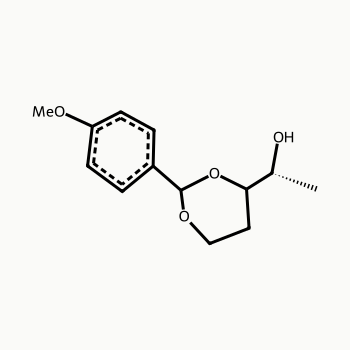 COc1ccc(C2OCCC([C@@H](C)O)O2)cc1